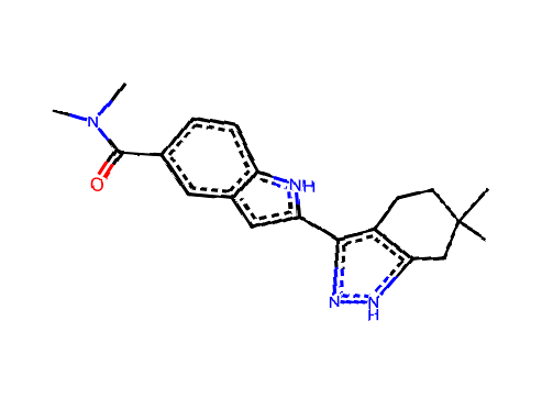 CN(C)C(=O)c1ccc2[nH]c(-c3n[nH]c4c3CCC(C)(C)C4)cc2c1